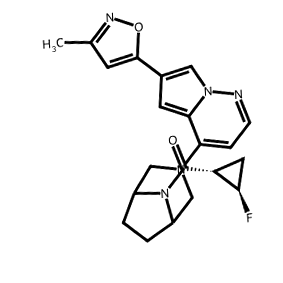 Cc1cc(-c2cc3c(N4CC5CCC(C4)N5C(=O)[C@@H]4C[C@H]4F)ccnn3c2)on1